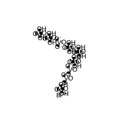 [Bi+3].[O]=[Mo](=[O])([OH])[OH].[O]=[Mo](=[O])([OH])[OH].[O]=[Mo](=[O])([OH])[OH].[O]=[V](=[O])[O-].[O]=[V](=[O])[O-].[O]=[V](=[O])[O-].[O]=[W](=[O])([OH])[OH].[O]=[W](=[O])([OH])[OH].[O]=[W](=[O])([OH])[OH]